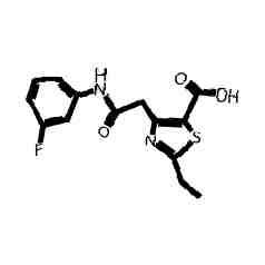 CCc1nc(CC(=O)Nc2cccc(F)c2)c(C(=O)O)s1